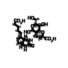 C[C@@H](O[C@@H]1[C@@H](N)[C@@H](O)O[C@H](CO)[C@H]1O)C(=O)O.O=C(O)CCCC[C@@H]1SC[C@@H]2NC(=O)N[C@@H]21